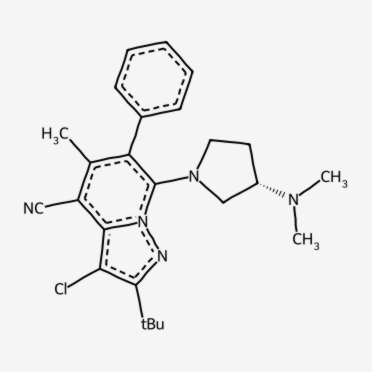 Cc1c(-c2ccccc2)c(N2CC[C@H](N(C)C)C2)n2nc(C(C)(C)C)c(Cl)c2c1C#N